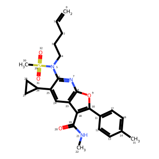 C=CCCCN(c1nc2oc(-c3ccc(C)cc3)c(C(=O)NC)c2cc1C1CC1)S(C)(=O)=O